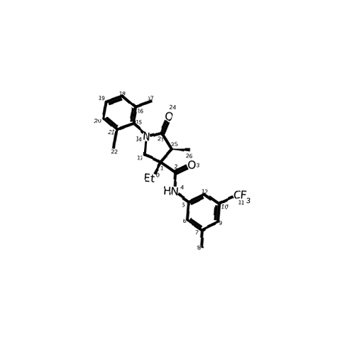 CCC1(C(=O)Nc2cc(C)cc(C(F)(F)F)c2)CN(c2c(C)cccc2C)C(=O)[C@H]1C